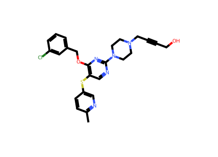 Cc1ccc(Sc2cnc(N3CCN(CC#CCO)CC3)nc2OCc2cccc(Cl)c2)cn1